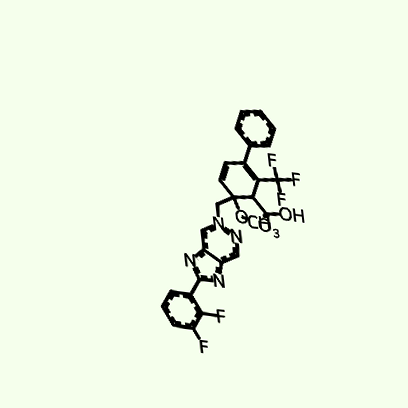 COC1(Cn2cc3nc(-c4cccc(F)c4F)nc-3cn2)C=CC(c2ccccc2)=C(C(F)(F)F)C1C(=O)O